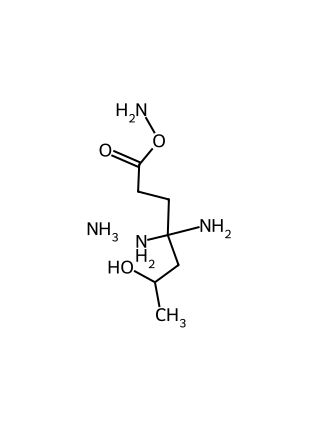 CC(O)CC(N)(N)CCC(=O)ON.N